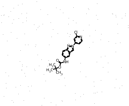 CC(C)(C)OC(=O)Nc1ccc2nn(-c3ccnc(Cl)c3)cc2c1